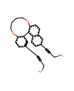 PCC#Cc1ccc2c3c(ccc2c1)OCCCCOc1ccc2cc(C#CCP)ccc2c1-3